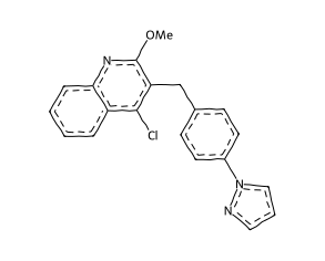 COc1nc2ccccc2c(Cl)c1Cc1ccc(-n2cccn2)cc1